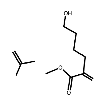 C=C(C)C.C=C(CCCCO)C(=O)OC